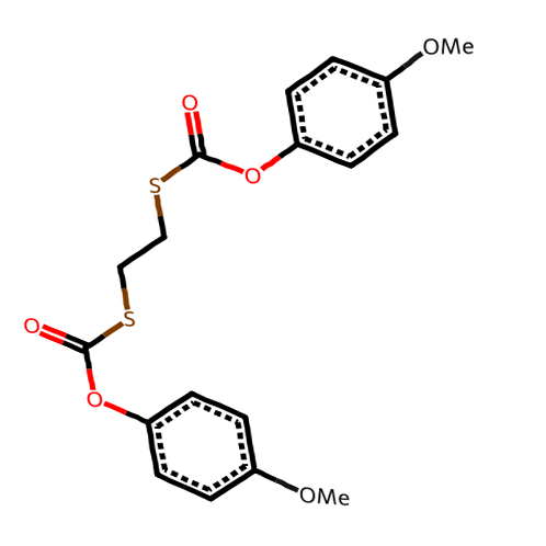 COc1ccc(OC(=O)SCCSC(=O)Oc2ccc(OC)cc2)cc1